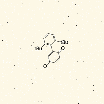 CC(C)(C)c1cccc(C(C)(C)C)c1C1=CC(=O)C=CC1=O